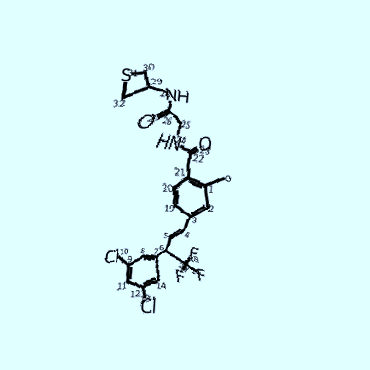 Cc1cc(/C=C/C(c2cc(Cl)cc(Cl)c2)C(F)(F)F)ccc1C(=O)NCC(=O)NC1CSC1